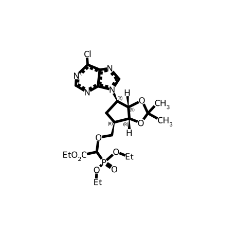 CCOC(=O)C(OC[C@H]1C[C@@H](n2cnc3c(Cl)ncnc32)[C@@H]2OC(C)(C)O[C@H]12)P(=O)(OCC)OCC